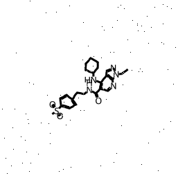 CCn1ncc2c(NC3CCCCC3)c(C(=O)NCCc3ccc(S(C)(=O)=O)cc3)cnc21